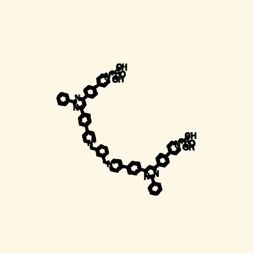 O=P(O)(O)C[n+]1ccc(-c2ccc(-c3cc(-c4ccc(-c5cc[n+](Cc6cccc(C[n+]7ccc(-c8ccc(-c9cc(-c%10ccc(-c%11cc[n+](CP(=O)(O)O)cc%11)cc%10)nc(-c%10ccccc%10)n9)cc8)cc7)c6)cc5)cc4)nc(-c4ccccc4)n3)cc2)cc1